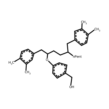 CCCCCC(CCC(Cc1ccc(C)c(C)c1)Oc1ccc(CO)cc1)Cc1ccc(C)c(C)c1